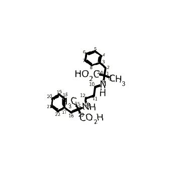 CC(Cc1ccccc1)(NCCCNC(C)(Cc1ccccc1)C(=O)O)C(=O)O